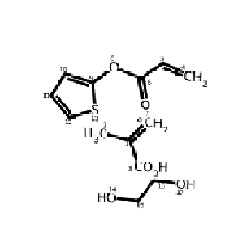 C=C(C)C(=O)O.C=CC(=O)Oc1cccs1.OCCO